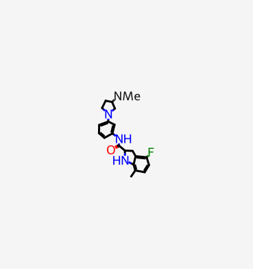 CNC1CCN(c2cccc(NC(=O)C3Cc4c(F)ccc(C)c4N3)c2)C1